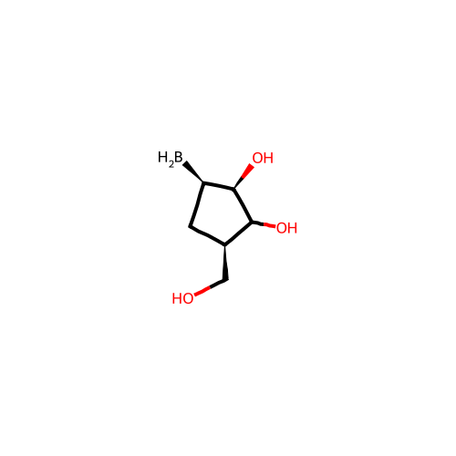 B[C@@H]1C[C@H](CO)C(O)[C@@H]1O